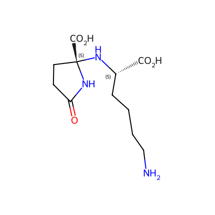 NCCCC[C@H](N[C@@]1(C(=O)O)CCC(=O)N1)C(=O)O